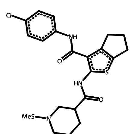 CSN1CCCC(C(=O)Nc2sc3c(c2C(=O)Nc2ccc(Cl)cc2)CCC3)C1